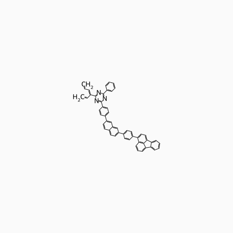 C=C/C=C(\C=C)c1nc(-c2ccccc2)nc(-c2ccc(-c3ccc4ccc(-c5ccc(-c6ccc7c8c(cccc68)-c6ccccc6-7)cc5)cc4c3)cc2)n1